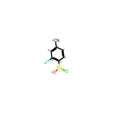 N#Cc1ccc([S+]([O-])Cl)c(F)c1